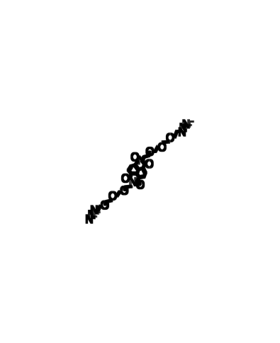 [N-]=[N+]=NCCOCCOCCOCCN1C(=O)c2ccc3c4c(ccc(c24)C1=O)C(=O)N(CCOCCOCCOCCN=[N+]=[N-])C3=O